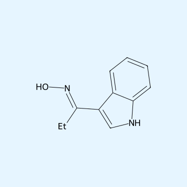 CCC(=NO)c1c[nH]c2ccccc12